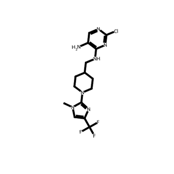 Cn1cc(C(F)(F)F)nc1N1CCC(CNc2nc(Cl)ncc2N)CC1